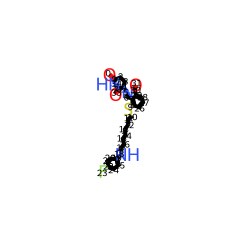 O=C1CCC(N2Cc3c(SCCCCCCCCNc4ccc(F)cc4)cccc3C2=O)C(=O)N1